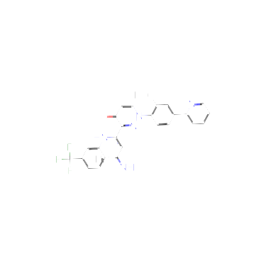 CC(=N)/C=C(\Nc1cccc(C(F)(F)F)c1)c1nn(-c2ccc(-c3ccccn3)cc2C)ccc1=O